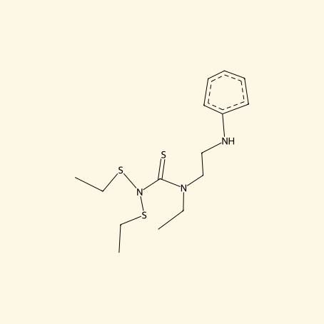 CCSN(SCC)C(=S)N(CC)CCNc1ccccc1